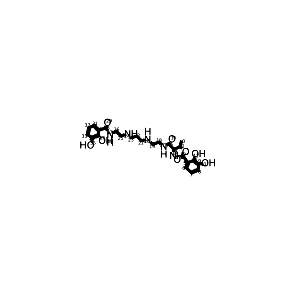 CC(OC(=O)c1cccc(O)c1O)C(N)C(=O)NCCNCCCNCCNC(=O)c1cccc(O)c1O